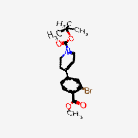 COC(=O)c1ccc(C2=CCN(C(=O)OC(C)(C)C)CC2)cc1Br